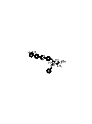 CC1[C@H]2CC[C@@]1(c1ccc(-c3cnc(-c4ccc(C[C@H](NC(=O)OCc5ccccc5)C(=O)N[C@H](C)C(=O)OC(C)(C)C)cc4)nc3)cc1)CC2